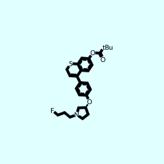 CC(C)(C)C(=O)Oc1ccc2c(c1)SCC=C2c1ccc(O[C@H]2CCN(CCCF)C2)cc1